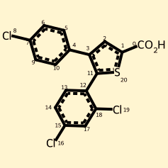 O=C(O)c1cc(-c2ccc(Cl)cc2)c(-c2ccc(Cl)cc2Cl)s1